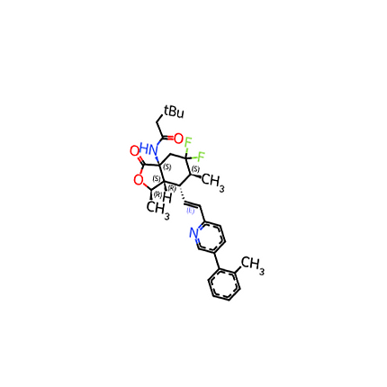 Cc1ccccc1-c1ccc(/C=C/[C@@H]2[C@@H]3[C@@H](C)OC(=O)[C@]3(NC(=O)CC(C)(C)C)CC(F)(F)[C@H]2C)nc1